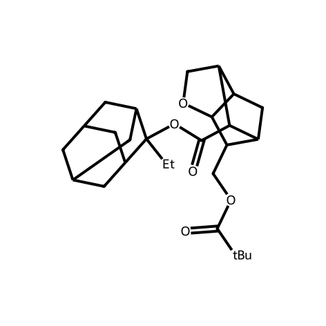 CCC1(OC(=O)C2C3COC4C3CC2C4COC(=O)C(C)(C)C)C2CC3CC(C2)CC1C3